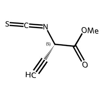 C#C[C@H](N=C=S)C(=O)OC